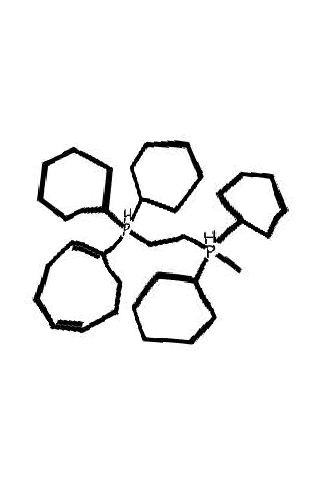 C[PH](CC[PH](/C1=C/CC/C=C\CC1)(C1CCCCC1)C1CCCCC1)(C1CCCCC1)C1CCCCC1